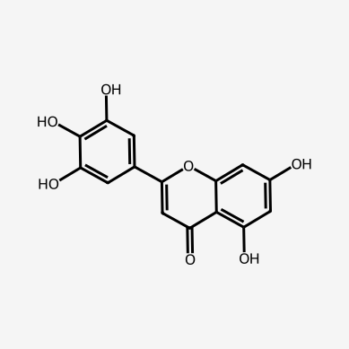 O=c1cc(-c2cc(O)c(O)c(O)c2)oc2cc(O)cc(O)c12